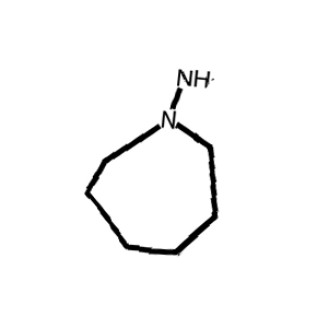 [NH]N1CCCCCC1